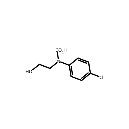 O=C(O)N(CCO)c1ccc(Cl)cc1